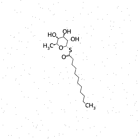 CCCCCCCCCCCC(=O)S[C@@H]1O[C@@H](C)[C@@H](O)[C@@H](O)[C@@H]1O